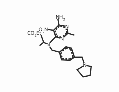 CCOC(=O)C(C)N(Cc1ccc(CN2CCCC2)cc1)c1nc(C)nc(N)c1[N+](=O)[O-]